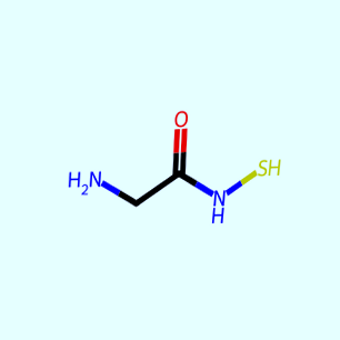 NCC(=O)NS